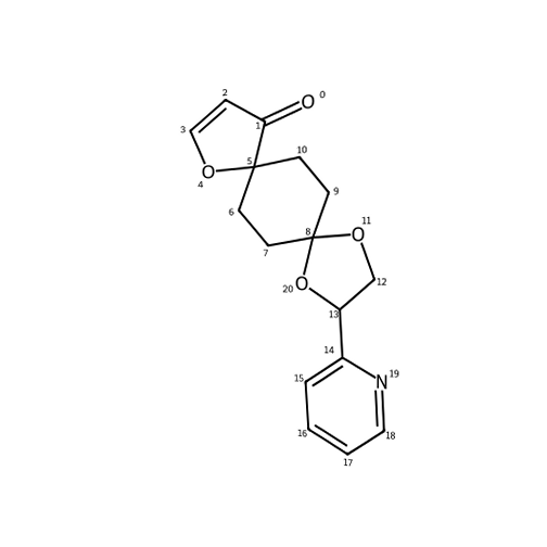 O=C1C=COC12CCC1(CC2)OCC(c2ccccn2)O1